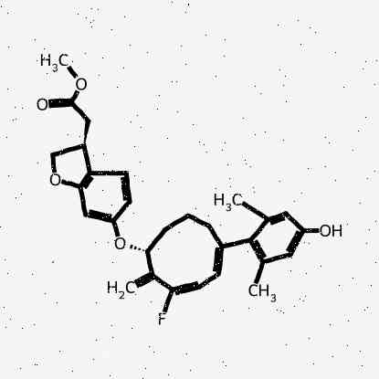 C=C1/C(F)=C\C=C(\c2c(C)cc(O)cc2C)CCC[C@H]1Oc1ccc2c(c1)OC[C@H]2CC(=O)OC